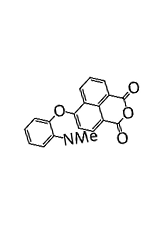 CNc1ccccc1Oc1ccc2c3c(cccc13)C(=O)OC2=O